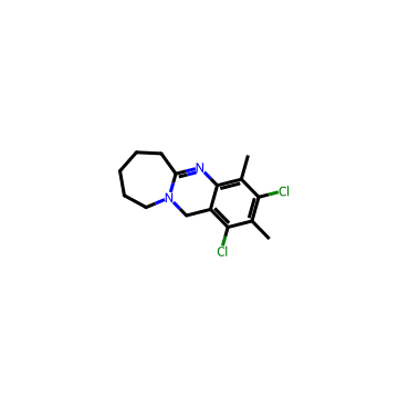 Cc1c(Cl)c(C)c2c(c1Cl)CN1CCCCCC1=N2